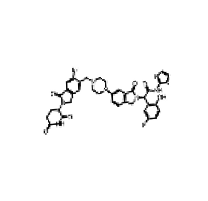 O=C1CCC(N2Cc3cc(CN4CCN(c5ccc6c(c5)C(=O)N(C(C(=O)Nc5nccs5)c5cc(F)ccc5O)C6)CC4)c(Br)cc3C2=O)C(=O)N1